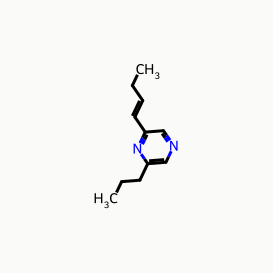 CCC=Cc1cncc(CCC)n1